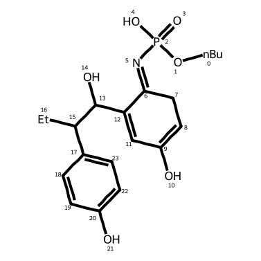 CCCCOP(=O)(O)N=C1CC=C(O)C=C1C(O)C(CC)c1ccc(O)cc1